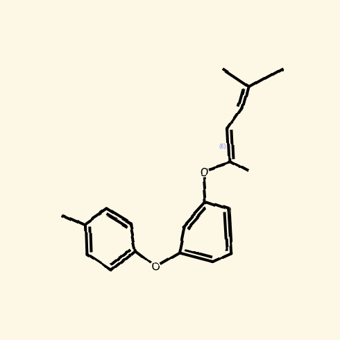 CC(C)=C/C=C(\C)Oc1cccc(Oc2ccc(C)cc2)c1